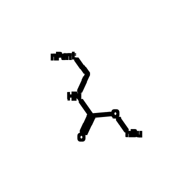 CCCCCCNC(=O)OCCCC